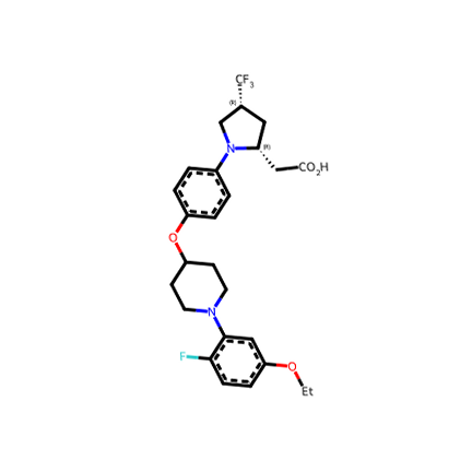 CCOc1ccc(F)c(N2CCC(Oc3ccc(N4C[C@H](C(F)(F)F)C[C@@H]4CC(=O)O)cc3)CC2)c1